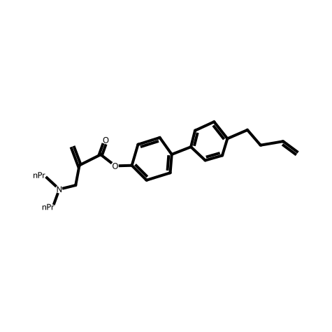 C=CCCc1ccc(-c2ccc(OC(=O)C(=C)CN(CCC)CCC)cc2)cc1